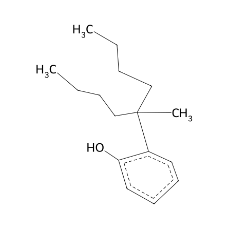 CCCCC(C)(CCCC)c1ccccc1O